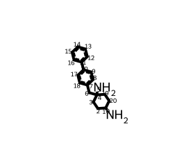 NC1CCC(N)(Cc2ccc(-c3ccccc3)cc2)CC1